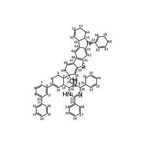 CC1(C2CCC(c3cccc(-c4ccccc4)c3)=CC2C2NC(c3ccccc3)=NC(C3C=CC=CC3)N2)C=c2sc3cc4c(cc3c2=CC1)C1C=CCCC1N4C1=CCCC=C1